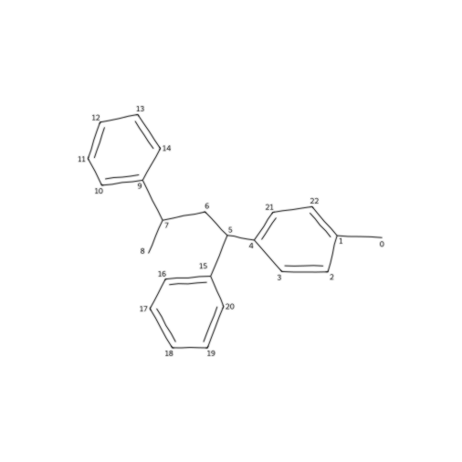 Cc1ccc(C(CC(C)c2ccccc2)c2ccccc2)cc1